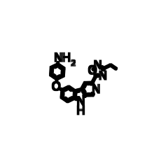 CCc1noc(-c2cc3c(cn2)[nH]c2ccc(Oc4ccc(N)cc4)cc23)n1